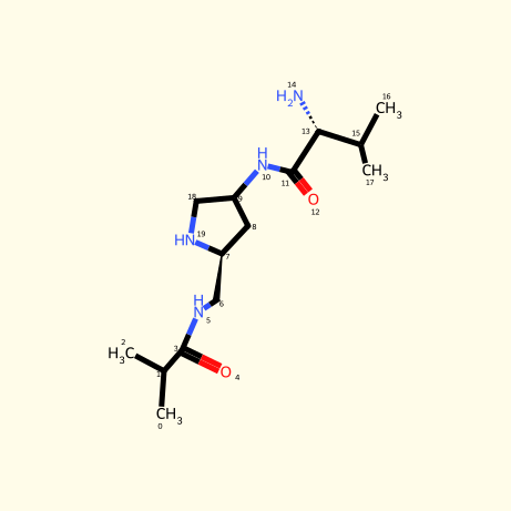 CC(C)C(=O)NC[C@@H]1CC(NC(=O)[C@H](N)C(C)C)CN1